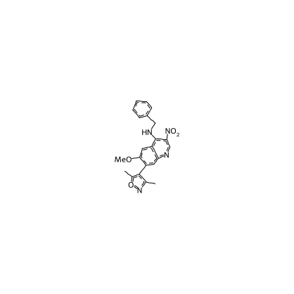 COc1cc2c(NCc3ccccc3)c([N+](=O)[O-])cnc2cc1-c1c(C)noc1C